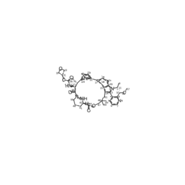 CCn1c(-c2cccnc2[C@H](C)OC)c2c3cc(ccc31)-c1csc(n1)C[C@H](NC(=O)OC1COC1)C(=O)N1CCC[C@H](N1)C(=O)OCC(C)(C)C2